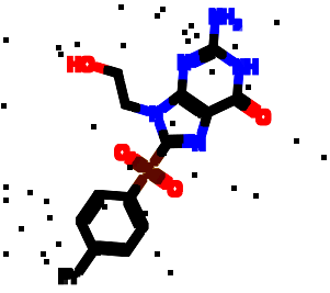 CC(C)c1ccc(S(=O)(=O)c2nc3c(=O)[nH]c(N)nc3n2CCO)cc1